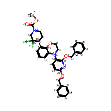 CC(C)(C)OC(=O)N1CC[C@@H](c2cccc3c2OCCN3c2ccc(OCc3ccccc3)nc2OCc2ccccc2)C(F)(F)C1